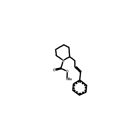 CCCCOC(=O)N1CCCCC1CC=Cc1ccccc1